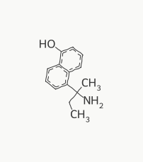 CCC(C)(N)c1cccc2c(O)cccc12